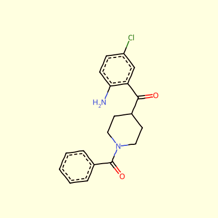 Nc1ccc(Cl)cc1C(=O)C1CCN(C(=O)c2ccccc2)CC1